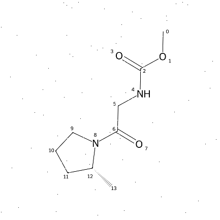 COC(=O)NCC(=O)N1CCC[C@H]1C